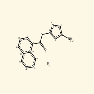 Nn1cn[n+](CC(=O)c2cccc3ccccc23)c1.[Br-]